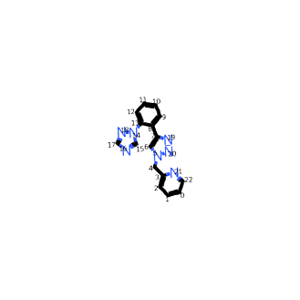 c1ccc(Cn2cc(-c3ccccc3-n3cncn3)nn2)nc1